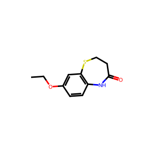 CCOc1ccc2c(c1)SCCC(=O)N2